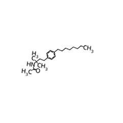 CCCCCCCCc1ccc(CCC(C)(C)NC(C)=O)cc1